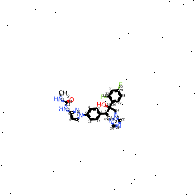 C=C(c1ccc(-n2ccc(NC(=O)NC)n2)cc1)C(O)(Cn1cncn1)c1ccc(F)cc1F